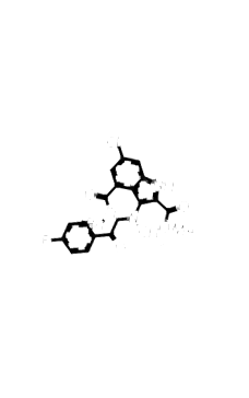 COC(=O)c1[nH]c2cc(Cl)cc(C(=O)OC(C)(C)C)c2c1N(C)CC(=O)c1ccc(F)cc1